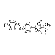 COc1cccc(OCC2CCN(CCc3ccc(F)cc3)CC2)c1OC